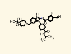 CC(C)NC(=O)C1CCC(n2/c(=N\C(=O)c3ccc(C#N)c(F)c3)[nH]c3ccc(CN4CCC(C(C)(C)O)CC4)cc32)CC1